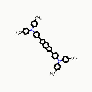 Cc1ccc(N(c2ccc(C)cc2)c2ccc(C3=Cc4cc5c(cc4C3)C=C(c3ccc(N(c4ccc(C)cc4)c4ccc(C)cc4)cc3)C5)cc2)cc1